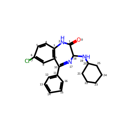 O=C1Nc2ccc(Cl)cc2C(c2ccccc2)=NC1NC1CCCCC1